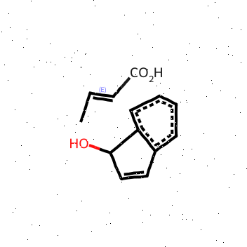 C/C=C/C(=O)O.OC1C=Cc2ccccc21